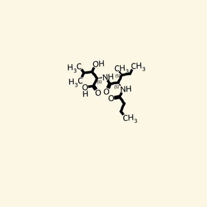 CCCC(=O)N[C@H](C(=O)N[C@H](C(=O)O)C(O)C(C)C)[C@@H](C)CC